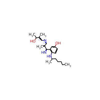 C=C(/C=N\C=C(/C)C(C)O)C(=N)c1cc(O)ccc1NC(C)CCCCC